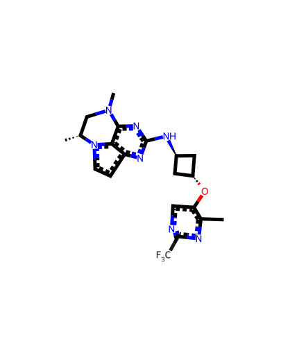 Cc1nc(C(F)(F)F)ncc1O[C@H]1C[C@H](Nc2nc3c4c(ccn4[C@H](C)CN3C)n2)C1